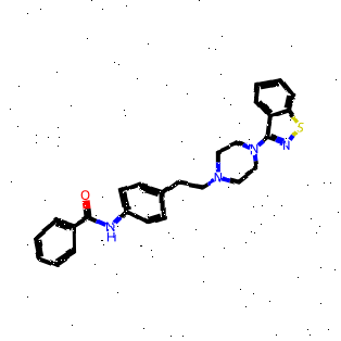 O=C(Nc1ccc(CCN2CCN(c3nsc4ccccc34)CC2)cc1)c1ccccc1